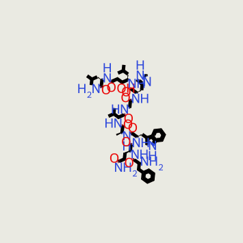 CC(C)C[C@H](NC(=O)C[C@H](O)[C@H](CC(C)C)NC(=O)[C@H](Cc1c[nH]cn1)NC(=O)CNC(=O)[C@@H](NC(=O)[C@H](C)NC(=O)[C@H](Cc1c[nH]c2ccccc12)NC(=O)[C@H](CCC(N)=O)NC(=O)[C@@H](N)Cc1ccccc1)C(C)C)C(N)=O